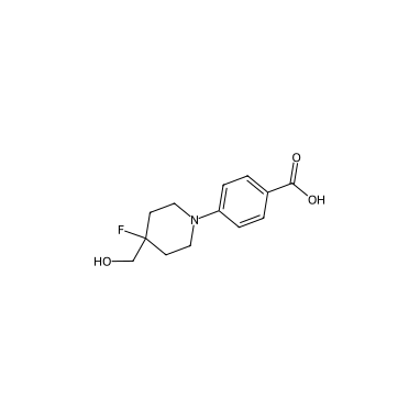 O=C(O)c1ccc(N2CCC(F)(CO)CC2)cc1